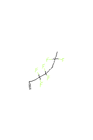 C=CC(F)(F)C(F)(F)CC(C)(F)F